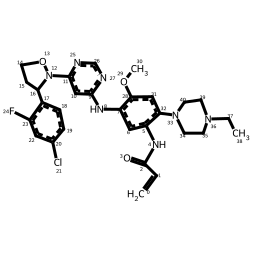 C=CC(=O)Nc1cc(Nc2cc(N3OCCC3c3ccc(Cl)cc3F)ncn2)c(OC)cc1N1CCN(CC)CC1